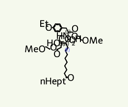 CCCCCCCC(=O)CCCCCC/C=C/[C@H](C(=O)N[C@@H](Cc1ccc(OCC)cc1)C(=O)OCCOC)[C@@](O)(CC(=O)OCCOC)C(=O)O